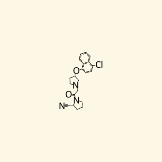 N#CC1CCCN1C(=O)CN1CC[C@H](Oc2ccc(Cl)c3ccccc23)C1